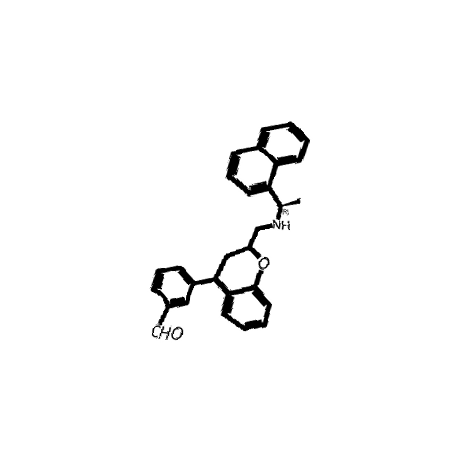 C[C@@H](NCC1CC(c2cccc(C=O)c2)c2ccccc2O1)c1cccc2ccccc12